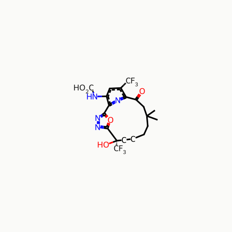 CC1(C)CCCC[C@](O)(C(F)(F)F)c2nnc(o2)-c2nc(c(C(F)(F)F)cc2NC(=O)O)C(=O)C1